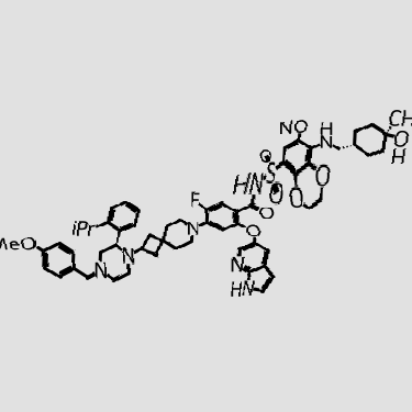 COc1ccc(CN2CCN(C3CC4(CCN(c5cc(Oc6cnc7[nH]ccc7c6)c(C(=O)NS(=O)(=O)c6cc(N=O)c(NC[C@H]7CC[C@](C)(O)CC7)c7c6OCCO7)cc5F)CC4)C3)[C@H](c3ccccc3C(C)C)C2)cc1